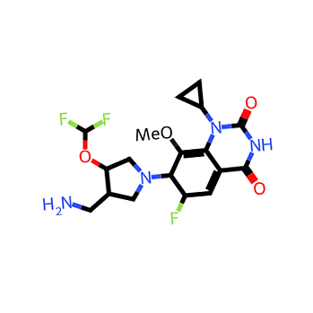 COC1=c2c(c(=O)[nH]c(=O)n2C2CC2)=CC(F)C1N1CC(CN)C(OC(F)F)C1